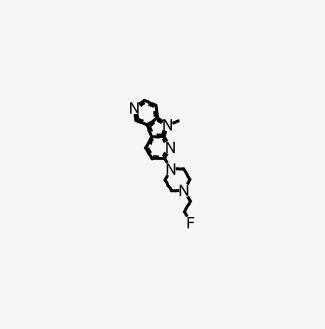 Cn1c2ccncc2c2ccc(N3CCN(CCF)CC3)nc21